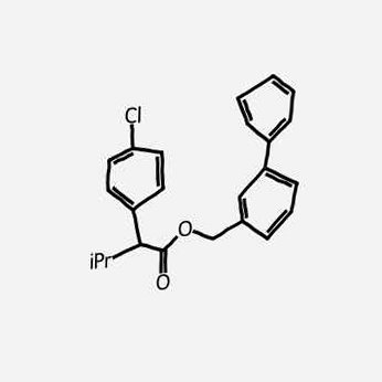 CC(C)C(C(=O)OCc1cccc(-c2ccccc2)c1)c1ccc(Cl)cc1